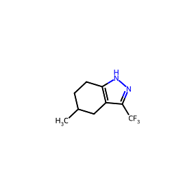 CC1CCc2[nH]nc(C(F)(F)F)c2C1